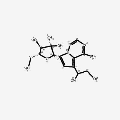 C[C@@]1(O)[C@H](O)[C@@H](CO)O[C@H]1c1cc(C(CO)N=O)c2c(N)ncnn12